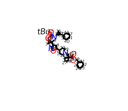 CC(C)(C)OC(=O)N(CC1(c2cc(C3CCN(CC4(C(=O)OCc5ccccc5)CCC4)CC3)on2)CC1)[C@@H]1C[C@H]1c1ccccc1